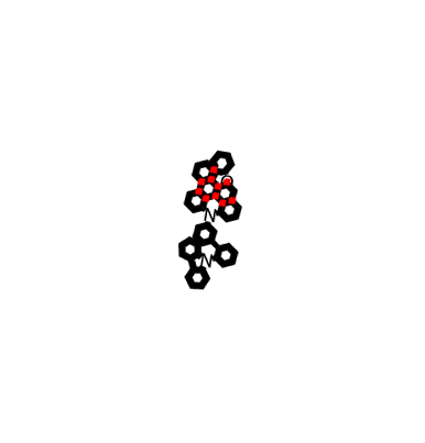 c1ccc(-c2ccccc2-c2cccc(N(c3cccc(-c4ccccc4-n4c5ccccc5c5ccccc54)c3)c3ccccc3-c3cccc4c3oc3ccccc34)c2)cc1